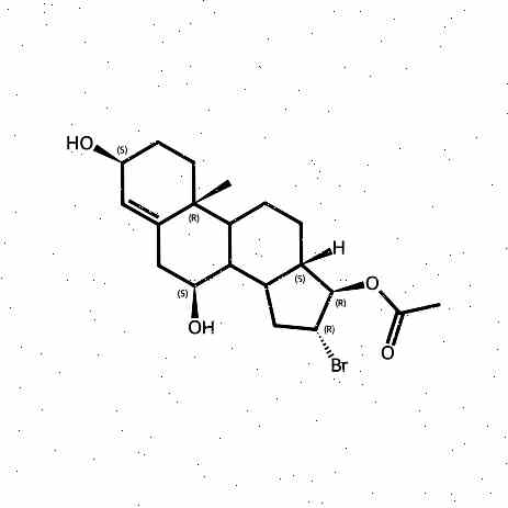 CC(=O)O[C@H]1[C@H](Br)CC2C3C(CC[C@@H]21)[C@@]1(C)CC[C@H](O)C=C1C[C@@H]3O